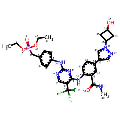 CCOP(=O)(Cc1ccc(Nc2ncc(C(F)(F)F)c(Nc3ccc(-c4cnn(C5CC(O)C5)c4)cc3C(=O)NC)n2)cc1)OCC